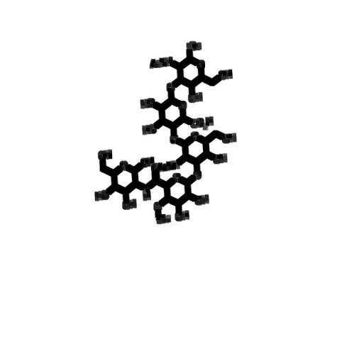 CC(=O)NC1C(OC2C(C(=O)O)OC(OC3C(O)C(CO)OC(C(C)(C)C)C3NC(C)=O)C(O)C2O)OC(CO)C(O)C1OC1OC(C(=O)NC2C(O)OC(CO)C(O)C2O)C(OC(C)(C)C)C(O)C1O